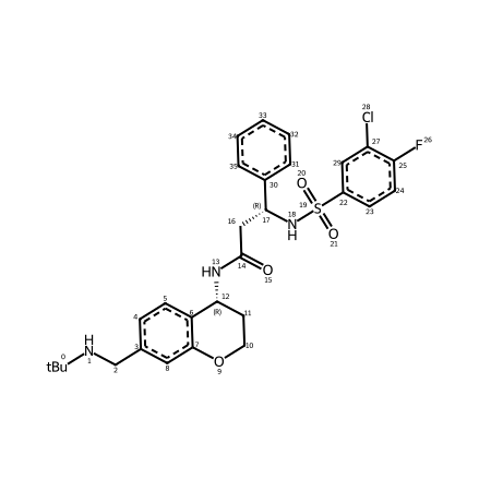 CC(C)(C)NCc1ccc2c(c1)OCC[C@H]2NC(=O)C[C@@H](NS(=O)(=O)c1ccc(F)c(Cl)c1)c1ccccc1